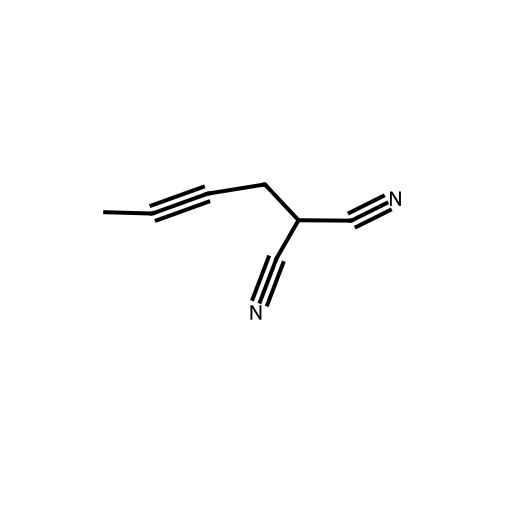 CC#CCC(C#N)C#N